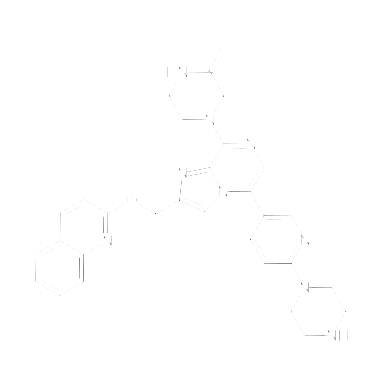 O=C1CN(c2ncc(-c3ccc(N4CCNCC4)nc3)n3cc(COc4ccc5ccccc5n4)nc23)CCN1